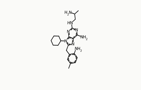 Cc1ccc(N)c(Cc2nc3c(N)nc(NCC(C)N)nc3n2C2CCCCC2)c1